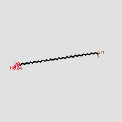 O=P(O)(O)OCCCCCCCCCCCCCCCCCCCCCCCCCCCCCCCCCCCCCCC(=S)S